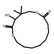 CC1(C)COC(=O)CCCCCCCOC(=O)C1O